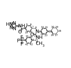 CC(NC(=O)N(Cc1ccc(C(=O)Nc2nn[nH]n2)cc1)c1ccc(C2=CCCCC2)cc1)c1ccc(C(F)(F)F)cc1